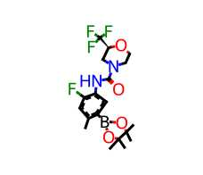 Cc1cc(F)c(NC(=O)N2CCO[C@H](C(F)(F)F)C2)cc1B1OC(C)(C)C(C)(C)O1